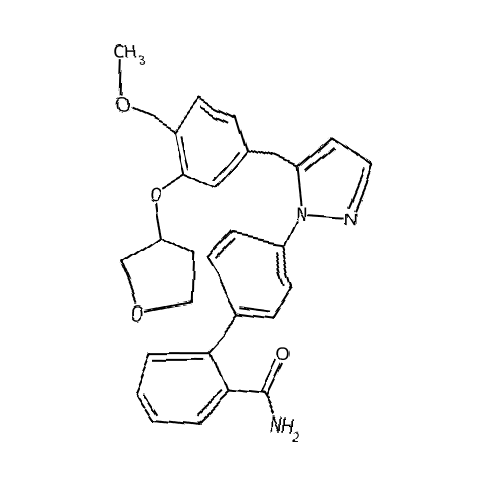 COc1ccc(-c2ccnn2-c2ccc(-c3ccccc3C(N)=O)cc2)cc1OC1CCOC1